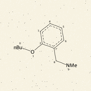 CCCCOc1ccccc1CNC